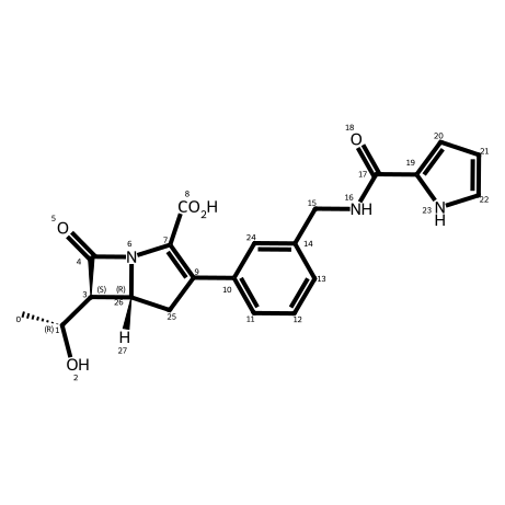 C[C@@H](O)[C@H]1C(=O)N2C(C(=O)O)=C(c3cccc(CNC(=O)c4ccc[nH]4)c3)C[C@H]12